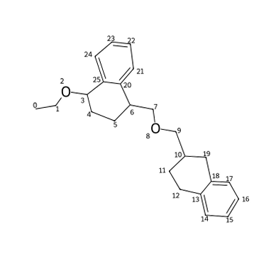 CCOC1CCC(COCC2CCc3ccccc3C2)c2ccccc21